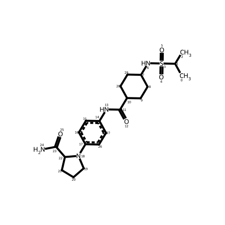 CC(C)S(=O)(=O)NC1CCC(C(=O)Nc2ccc(N3CCCC3C(N)=O)cc2)CC1